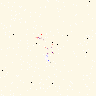 CN=P(O)(S)OP(=O)(O)O